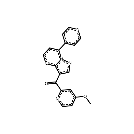 COc1ccnc(C(=O)c2cnn3c(-c4ccncc4)ccnc23)c1